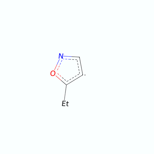 CCc1[c]cno1